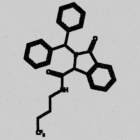 O=C(NCCCC(F)(F)F)C1c2ccccc2C(=O)N1C(c1ccccc1)c1ccccc1